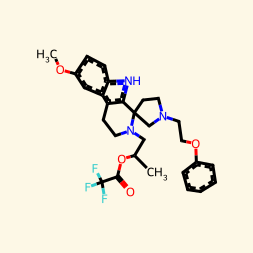 COc1ccc2[nH]c3c(c2c1)CCN(CC(C)OC(=O)C(F)(F)F)C31CCN(CCOc2ccccc2)C1